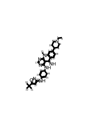 CCN1CCC(c2ccc(C(=N)c3c(NC)ncnc3NC3C=CC(Nc4cc(C(C)(C)C)on4)=CC3)cc2)CC1